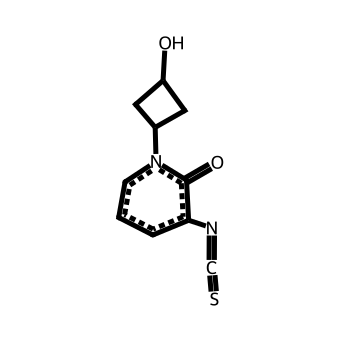 O=c1c(N=C=S)cccn1C1CC(O)C1